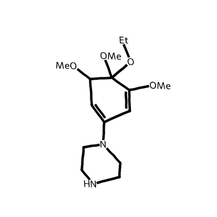 CCOC1(OC)C(OC)=CC(N2CCNCC2)=CC1OC